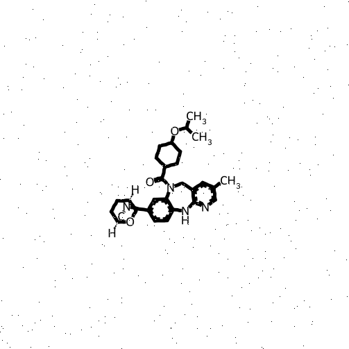 Cc1cnc2c(c1)CN(C(=O)C1CCC(OC(C)C)CC1)c1cc(N3C[C@@H]4CC[C@H]3CO4)ccc1N2